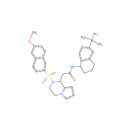 COc1ccc2cc(S(=O)(=O)N3CCn4cccc4C3CC(=O)NC3CCCc4cc(C(C)(C)N)ccc43)ccc2c1